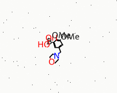 COc1cc(CN2CCOCC2)cc(B(O)O)c1OC